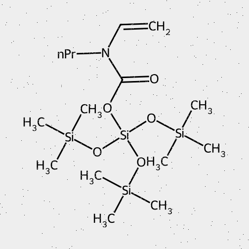 C=CN(CCC)C(=O)O[Si](O[Si](C)(C)C)(O[Si](C)(C)C)O[Si](C)(C)C